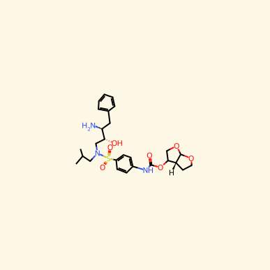 CC(C)CN(C[C@@H](O)[C@@H](N)Cc1ccccc1)S(=O)(=O)c1ccc(NC(=O)OC2COC3OCC[C@H]23)cc1